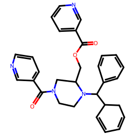 O=C(OCC1CN(C(=O)c2cccnc2)CCN1C(c1ccccc1)C1C=CC=CC1)c1cccnc1